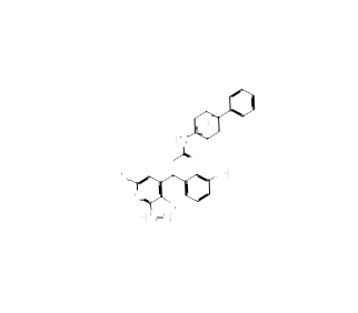 Nc1cc([C@H](CC(=O)NC23CCC(c4ccccc4)(CC2)CC3)c2cccc(O)c2)c2nn[nH]c2n1